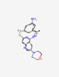 C[C@@H](Nc1nc(Cl)cc2ncc(N3CCOCC3)cc12)c1cc(N)cc(C(F)(F)F)c1